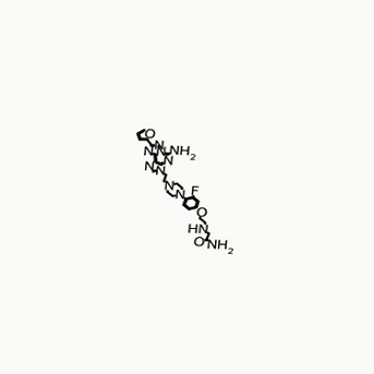 NC(=O)CNCCOc1ccc(N2CCN(CCn3cnc4c3nc(N)n3nc(-c5ccco5)nc43)CC2)c(F)c1